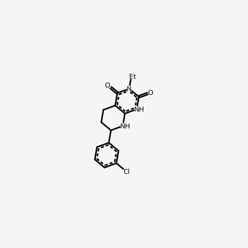 CCn1c(=O)[nH]c2c(c1=O)CCC(c1cccc(Cl)c1)N2